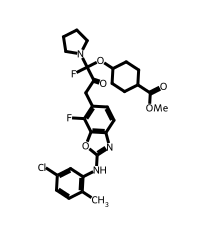 COC(=O)C1CCC(OC(F)(C(=O)Cc2ccc3nc(Nc4cc(Cl)ccc4C)oc3c2F)N2CCCC2)CC1